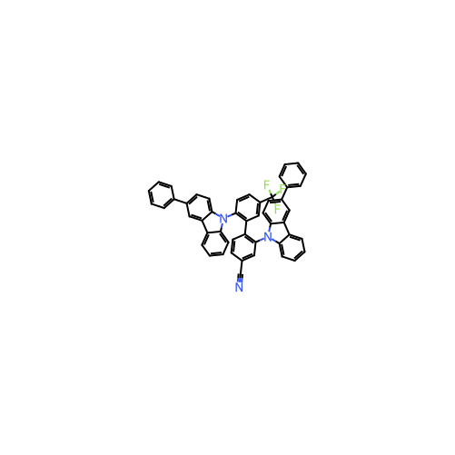 N#Cc1ccc(-c2cc(C(F)(F)F)ccc2-n2c3ccccc3c3cc(-c4ccccc4)ccc32)c(-n2c3ccccc3c3cc(-c4ccccc4)ccc32)c1